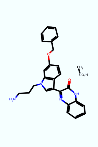 CC(=O)O.NCCCn1cc(-c2nc3ccccc3[nH]c2=O)c2ccc(OCc3ccccc3)cc21